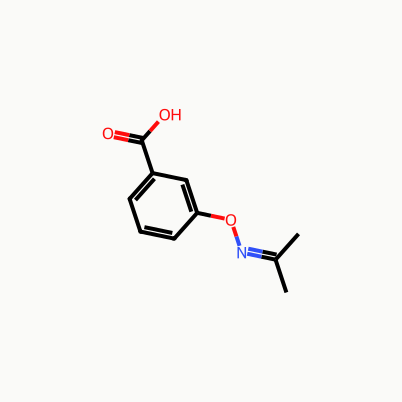 CC(C)=NOc1cccc(C(=O)O)c1